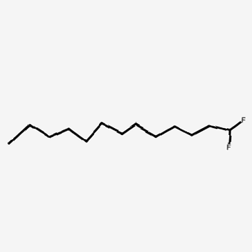 CCCCCCCCCCCCC(F)F